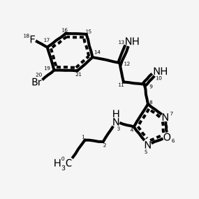 CCCNc1nonc1C(=N)CC(=N)c1ccc(F)c(Br)c1